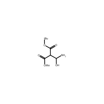 COC(=O)C(C(=O)OC(C)(C)C)C(N)O